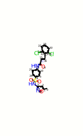 Cc1cc(NS(=O)(=O)c2ccc(NC(=O)/C=C/c3c(Cl)cccc3Cl)cc2)no1